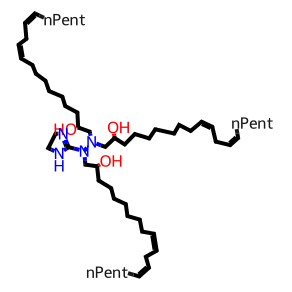 CCCCC/C=C\C/C=C\CCCCCCCC(O)CN(CC(O)CCCCCCC/C=C\C/C=C\CCCCC)N(CC(O)CCCCCCC/C=C\C/C=C\CCCCC)C1=NCCN1